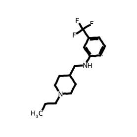 CCCN1CCC(CNc2[c]ccc(C(F)(F)F)c2)CC1